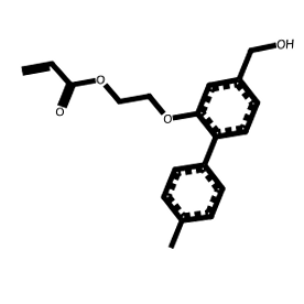 C=CC(=O)OCCOc1cc(CO)ccc1-c1ccc(C)cc1